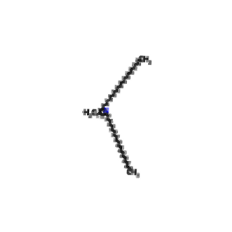 [CH2]Cc1cc(CCCCCCCCCCCCCCCCCCCCCC)nc(CCCCCCCCCCCCCCCCCCCCCC)c1